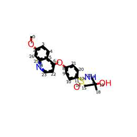 COc1ccc2c(Oc3ccc(S(=N)(=O)CC(C)(C)O)cc3)ccnc2c1